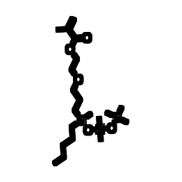 C=C(C)C(=O)OCCOCCC[Si](C)(CCCCC)O[Si](C)(C)O[Si](C)(C)C